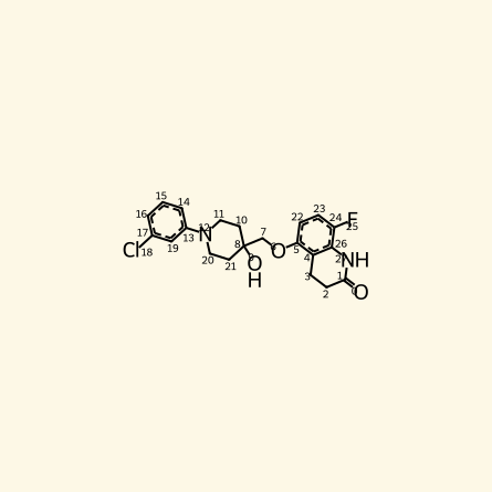 O=C1CCc2c(OCC3(O)CCN(c4cccc(Cl)c4)CC3)ccc(F)c2N1